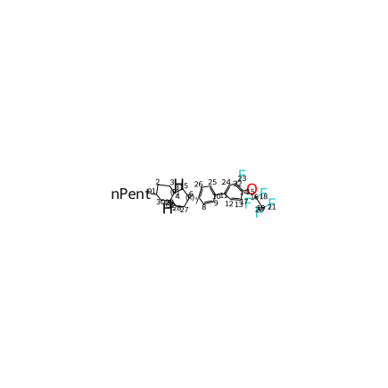 CCCCCC1CC[C@@H]2C[C@H](c3ccc(-c4ccc(OC(F)(F)C(F)F)c(F)c4)cc3)CC[C@@H]2C1